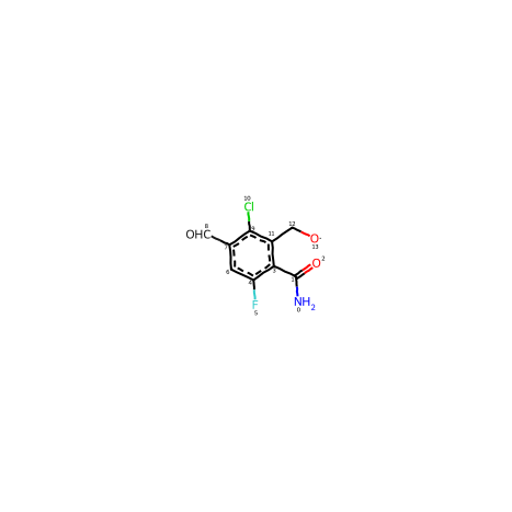 NC(=O)c1c(F)cc(C=O)c(Cl)c1C[O]